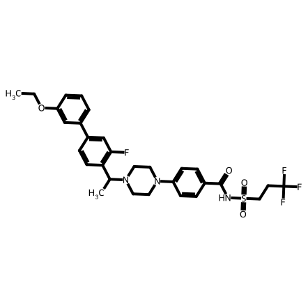 CCOc1cccc(-c2ccc(C(C)N3CCN(c4ccc(C(=O)NS(=O)(=O)CCC(F)(F)F)cc4)CC3)c(F)c2)c1